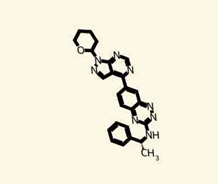 C[C@@H](Nc1nnc2cc(-c3ncnc4c3cnn4C3CCCCO3)ccc2n1)c1ccccc1